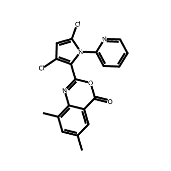 Cc1cc(C)c2nc(-c3c(Cl)cc(Cl)n3-c3ccccn3)oc(=O)c2c1